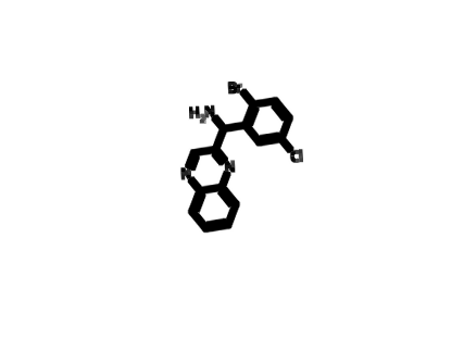 NC(c1cnc2ccccc2n1)c1cc(Cl)ccc1Br